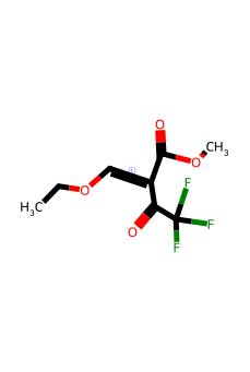 CCO/C=C(/C(=O)OC)C(=O)C(F)(F)F